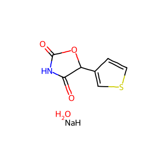 O.O=C1NC(=O)C(c2ccsc2)O1.[NaH]